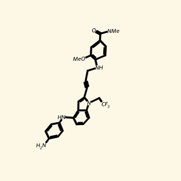 CNC(=O)c1ccc(NCC#Cc2cc3c(Nc4ccc(N)cc4)cccc3n2CC(F)(F)F)c(OC)c1